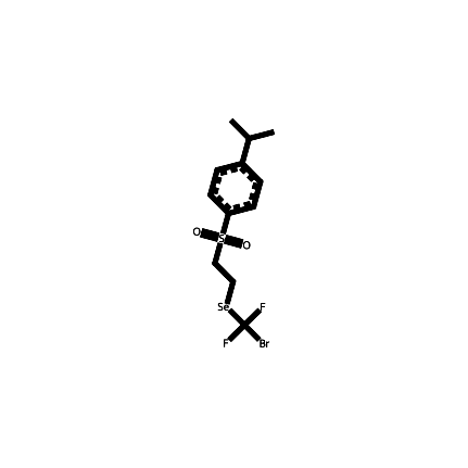 CC(C)c1ccc(S(=O)(=O)CC[Se]C(F)(F)Br)cc1